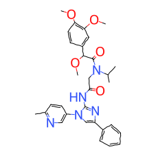 COc1ccc(C(OC)C(=O)N(CC(=O)Nc2nc(-c3ccccc3)cn2-c2ccc(C)nc2)C(C)C)cc1OC